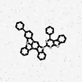 c1ccc(-c2ccc3c4cc5c(c6ccccc6n5-c5nc(-c6ccccc6)c6c(n5)oc5ccccc56)c5c6ccccc6n(c3c2)c45)cc1